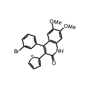 COc1cc2[nH]c(=O)c(-c3cccs3)c(-c3cccc(Br)c3)c2cc1OC